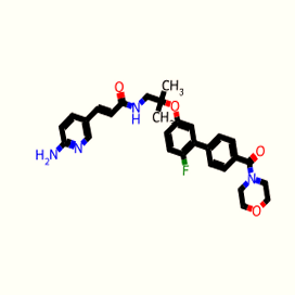 CC(C)(CNC(=O)C=Cc1ccc(N)nc1)Oc1ccc(F)c(-c2ccc(C(=O)N3CCOCC3)cc2)c1